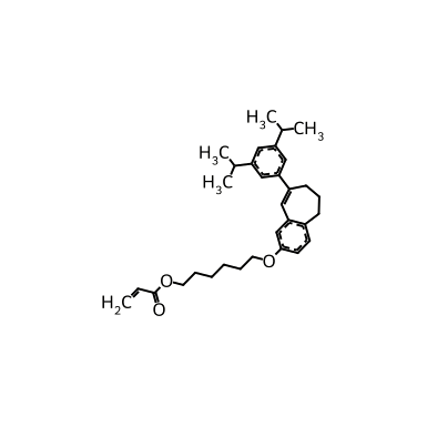 C=CC(=O)OCCCCCCOc1ccc2c(c1)C=C(c1cc(C(C)C)cc(C(C)C)c1)CCC2